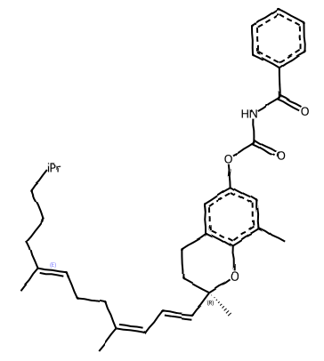 CC(=CC=C[C@@]1(C)CCc2cc(OC(=O)NC(=O)c3ccccc3)cc(C)c2O1)CC/C=C(\C)CCCC(C)C